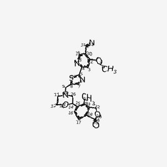 COc1cc(-c2ncc(CN3CCOC(c4ccc5c(c4C)COC5=O)C3)s2)ncc1C#N